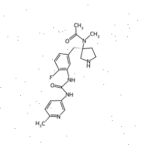 CC(=O)N(C)[C@@]1(Cc2ccc(F)c(NC(=O)Nc3ccc(C)nc3)c2)CCNC1